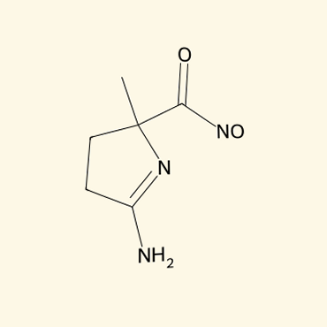 CC1(C(=O)N=O)CCC(N)=N1